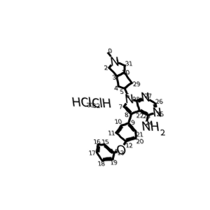 CN1CC2CC(n3cc(-c4ccc(Oc5ccccc5)cc4)c4c(N)ncnc43)CC2C1.Cl.Cl